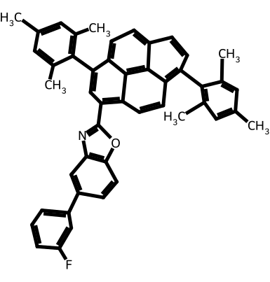 Cc1cc(C)c(-c2ccc3ccc4c(-c5c(C)cc(C)cc5C)cc(-c5nc6cc(-c7cccc(F)c7)ccc6o5)c5ccc2c3c54)c(C)c1